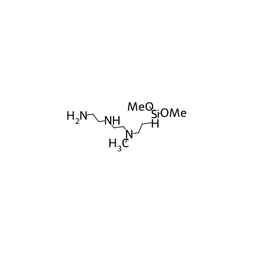 CO[SiH](CCCN(C)CCNCCN)OC